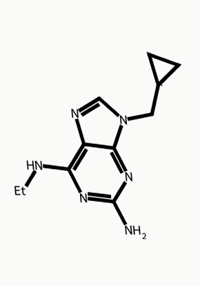 CCNc1nc(N)nc2c1ncn2C[C]1CC1